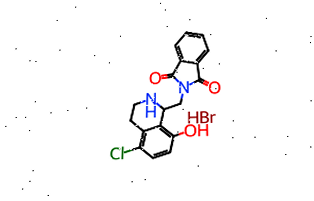 Br.O=C1c2ccccc2C(=O)N1CC1NCCc2c(Cl)ccc(O)c21